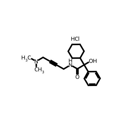 CN(C)CC#CCNC(=O)C(O)(c1ccccc1)C1CCCCC1.Cl